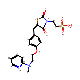 CN(CCOc1ccc(CC2SC(=O)N(CCS(=O)(=O)O)C2=O)cc1)c1ccccn1